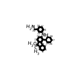 CC1(C)c2ccccc2-c2c1ccc(Nc1cccc(CN)c1)c2C1C=CC=CC1